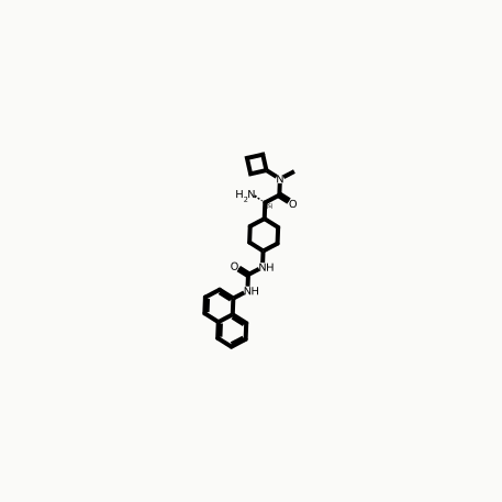 CN(C(=O)[C@@H](N)C1CCC(NC(=O)Nc2cccc3ccccc23)CC1)C1CCC1